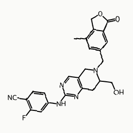 Cc1cc(CN2Cc3cnc(Nc4ccc(C#N)c(F)c4)nc3CC2CO)cc2c1COC2=O